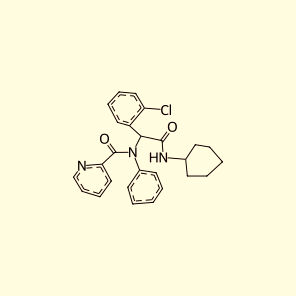 O=C(NC1CCCCC1)C(c1ccccc1Cl)N(C(=O)c1ccccn1)c1ccccc1